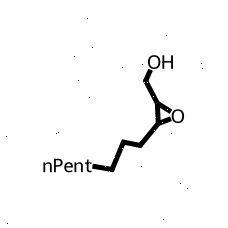 CCCCCCCCC1OC1CO